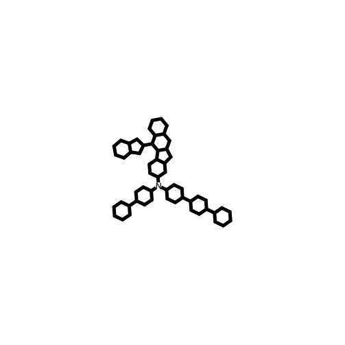 C1CCC(C2CCC(C3CCC(N(C4CCC(C5CCCCC5)CC4)C4CCC5C(CC6CC7CCCCC7C(C7CC8CCCCC8C7)C65)C4)CC3)CC2)CC1